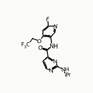 CC(C)Nc1nccc(C(=O)Nc2cnc(F)cc2OCC(F)(F)F)n1